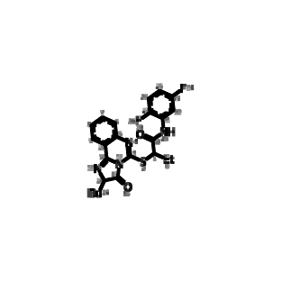 CCC(SC1=Nc2ccccc2C2=NC(C(C)CC)C(=O)N12)C(=O)Nc1cc(F)ccc1F